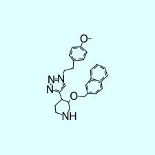 COc1ccc(CCn2cc(C3CCNCC3OCc3ccc4ccccc4c3)nn2)cc1